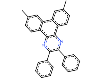 Cc1ccc2c(c1)c1cc(C)ccc1c1nc(-c3ccccc3)c(-c3ccccc3)nc21